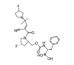 CC(C)(C=C(C#N)C(=O)N1C[C@@H](F)C[C@]1(C)COC(=O)N[C@@H](Cc1ccccc1)B(O)O)N1CCC(F)C1